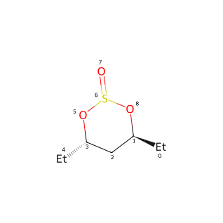 CC[C@H]1C[C@H](CC)OS(=O)O1